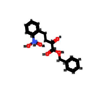 O=C(CCc1ccccc1[N+](=O)[O-])C(=O)OCc1ccccc1